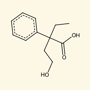 CCC(CCO)(C(=O)O)c1ccccc1